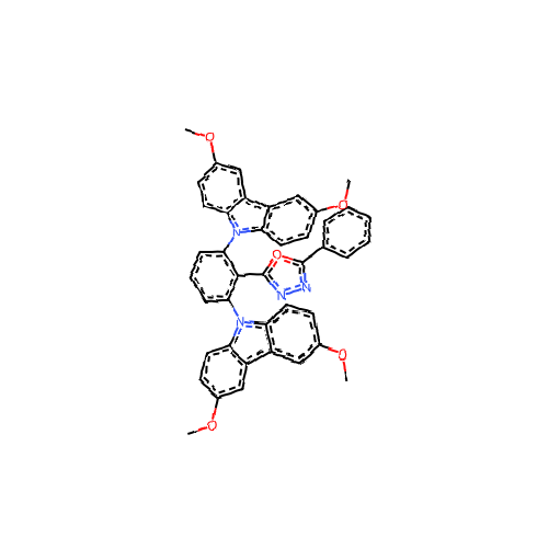 COc1ccc2c(c1)c1cc(OC)ccc1n2-c1cccc(-n2c3ccc(OC)cc3c3cc(OC)ccc32)c1-c1nnc(-c2ccccc2)o1